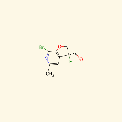 Cc1cc2c(c(Br)n1)OCC2(F)C=O